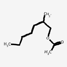 [CH2]C(CCCCC)COC(C)=O